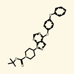 CC(C)(C)OC(=O)N1CCC(n2ncc3c(Oc4ccc(Oc5ccccc5)cc4)ncnc32)CC1